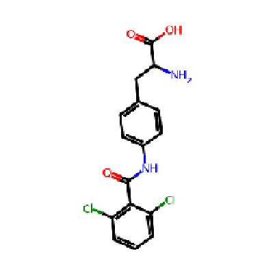 NC(Cc1ccc(NC(=O)c2c(Cl)cccc2Cl)cc1)C(=O)O